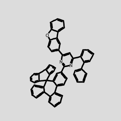 c1ccc(-c2ccccc2-c2cc(-c3ccc4oc5ccccc5c4c3)nc(-c3ccc4c(c3)C3(c5ccccc5-c5ccccc5-4)c4ccccc4-c4ccccc43)n2)cc1